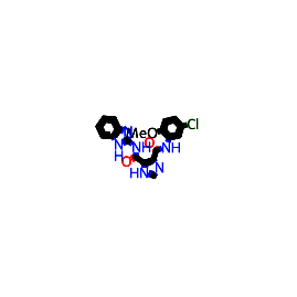 COc1ccc(Cl)cc1NC(=O)c1nc[nH]c1C(=O)Nc1nc2ccccc2[nH]1